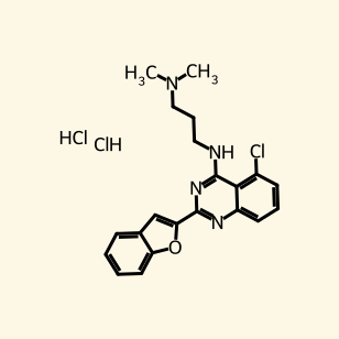 CN(C)CCCNc1nc(-c2cc3ccccc3o2)nc2cccc(Cl)c12.Cl.Cl